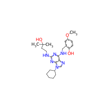 COc1ccc(O)c(CNc2nc(NCCC(C)(C)O)nc3c2ncn3C2CCCCC2)c1